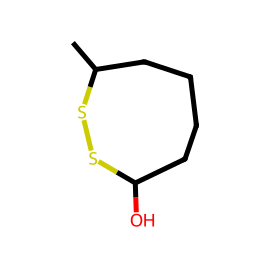 CC1CCCCC(O)SS1